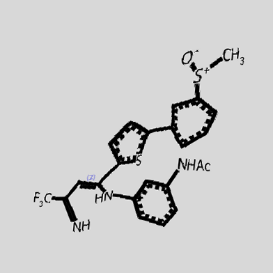 CC(=O)Nc1cccc(N/C(=C\C(=N)C(F)(F)F)c2ccc(-c3cccc([S+](C)[O-])c3)s2)c1